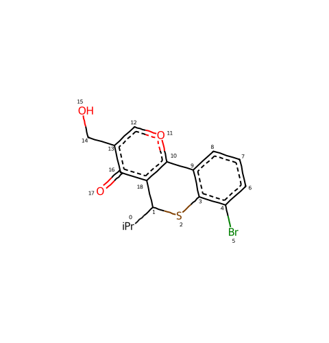 CC(C)C1Sc2c(Br)cccc2-c2occ(CO)c(=O)c21